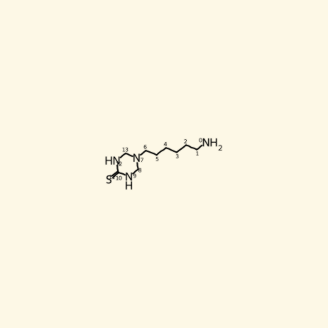 NCCCCCCN1CNC(=S)NC1